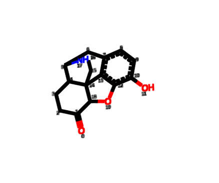 O=C1CCC2C3Cc4ccc(O)c5c4C2(CCN3)C1O5